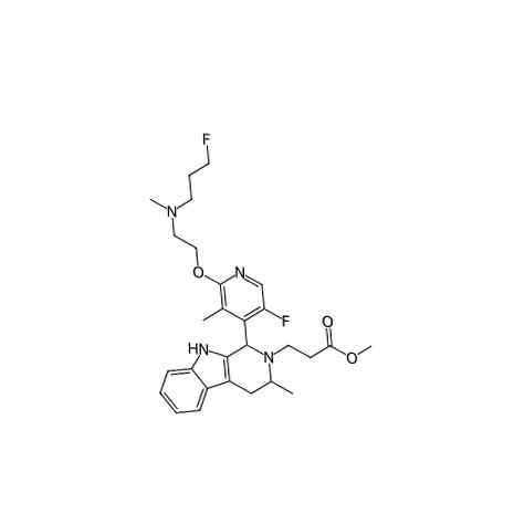 COC(=O)CCN1C(C)Cc2c([nH]c3ccccc23)C1c1c(F)cnc(OCCN(C)CCCF)c1C